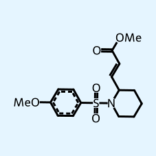 COC(=O)C=CC1CCCCN1S(=O)(=O)c1ccc(OC)cc1